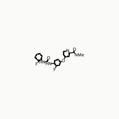 CNC(=O)c1cc(Oc2ccc(NC(=O)Nc3ccccc3F)c(F)c2)ccn1